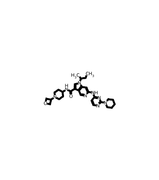 CCC(C)n1cc(C(=O)NC2CCN(C3COC3)CC2)c2cnc(Nc3ccnc(N4CCCCC4)n3)cc21